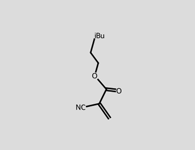 C=C(C#N)C(=O)OCCC(C)CC